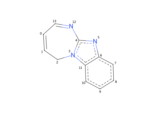 C1=CCn2c(nc3ccccc32)N=C1